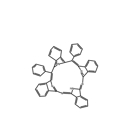 c1ccc(-c2c3nc(nc4[nH]c(nc5nc(c(-c6ccccc6)c6[nH]c2c2ccccc62)-c2ccccc2-5)c2ccccc42)-c2ccccc2-3)cc1